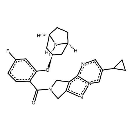 CN1[C@@H]2CC[C@H]1C[C@@H](Oc1cc(F)ccc1C(=O)N1Cc3nn4cc(C5CC5)cnc4c3C1)C2